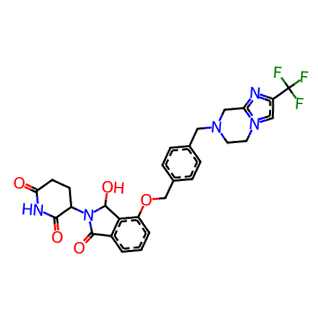 O=C1CCC(N2C(=O)c3cccc(OCc4ccc(CN5CCn6cc(C(F)(F)F)nc6C5)cc4)c3C2O)C(=O)N1